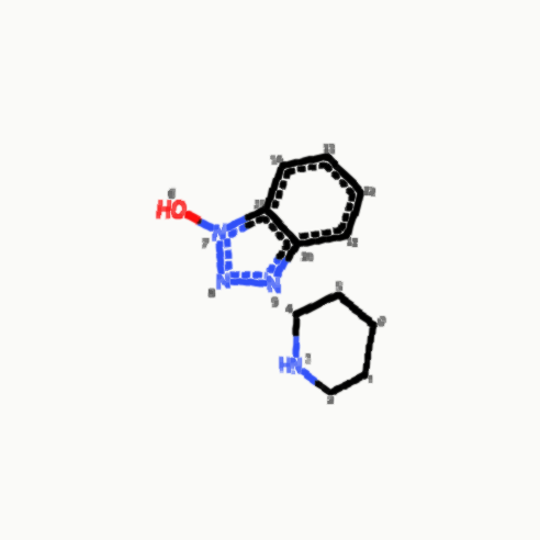 C1CCNCC1.On1nnc2ccccc21